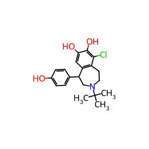 CC(C)(C)N1CCc2c(cc(O)c(O)c2Cl)C(c2ccc(O)cc2)C1